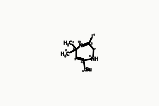 CC1(C)C=C(C(C)(C)C)NCC(I)=N1